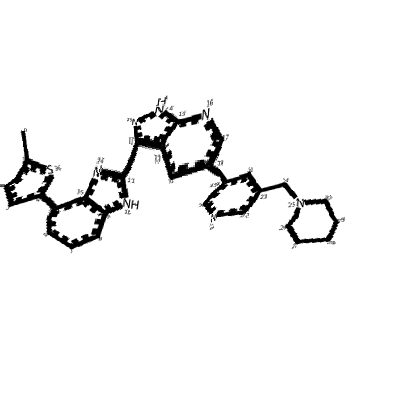 Cc1ccc(-c2cccc3[nH]c(-c4n[nH]c5ncc(-c6cncc(CN7CCCCC7)c6)cc45)nc23)s1